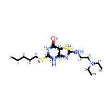 CCCCCSc1nc(=O)c2sc(NCCN(CC)CC)nc2[nH]1